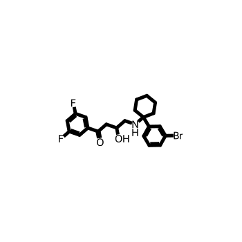 O=C(CC(O)CNC1(c2cccc(Br)c2)CCCCC1)c1cc(F)cc(F)c1